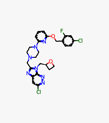 Fc1cc(Cl)ccc1COc1cccc(N2CCN(Cc3nc4cc(Cl)nnc4n3C[C@@H]3CCO3)CC2)n1